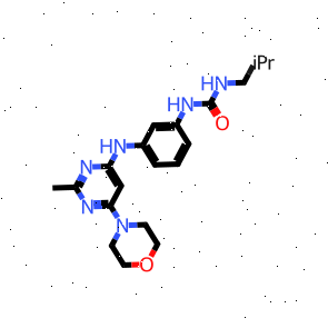 Cc1nc(Nc2cccc(NC(=O)NCC(C)C)c2)cc(N2CCOCC2)n1